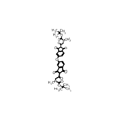 CN(CC(=O)C1C(=O)c2ccc(Oc3ccc4c(c3)C(=O)C(C(=O)CN(C)C(=O)OC(C)(C)C)C4=O)cc2C1=O)C(=O)OC(C)(C)C